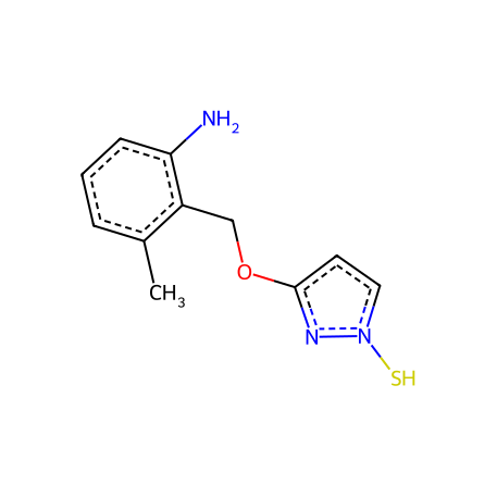 Cc1cccc(N)c1COc1ccn(S)n1